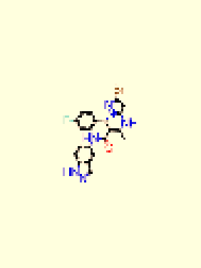 CC1=C(C(=O)Nc2ccc3[nH]ncc3c2)C(c2ccc(F)cc2)n2nc(Br)cc2N1